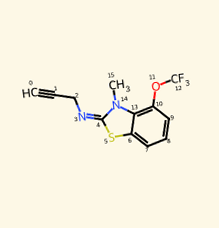 C#CCN=c1sc2cccc(OC(F)(F)F)c2n1C